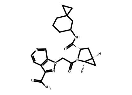 NC(=O)c1nn(CC(=O)N2[C@@H]3C[C@@H]3C[C@H]2C(=O)NC2CCCC3(CC3)C2)c2cnccc12